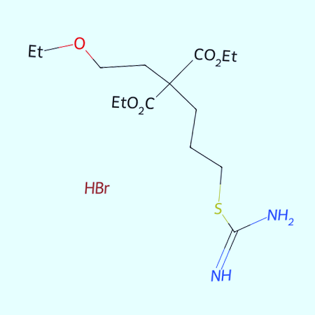 Br.CCOCCC(CCCSC(=N)N)(C(=O)OCC)C(=O)OCC